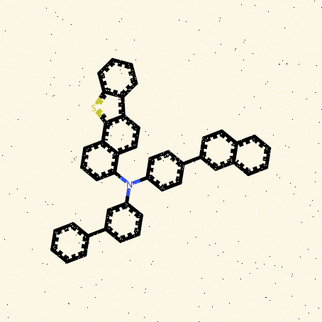 c1ccc(-c2cccc(N(c3ccc(-c4ccc5ccccc5c4)cc3)c3cccc4c3ccc3c5ccccc5sc43)c2)cc1